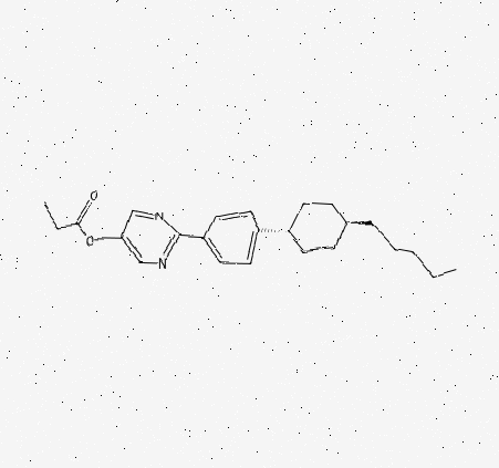 CCCCC[C@H]1CC[C@H](c2ccc(-c3ncc(OC(=O)CC)cn3)cc2)CC1